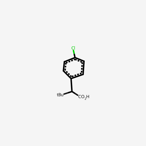 CC(C)(C)C(C(=O)O)c1ccc(Cl)cc1